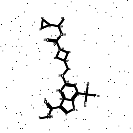 CNC(=O)c1csc2c(C(F)(F)F)cc(OCC3CN(C(=O)OC(C)C4CC4)C3)nc12